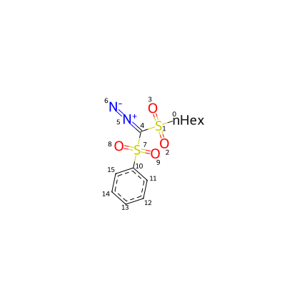 CCCCCCS(=O)(=O)C(=[N+]=[N-])S(=O)(=O)c1ccccc1